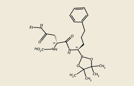 CCNC(=O)C[C@@H](NC(=O)O)C(=O)N[C@@H](CCCc1ccccc1)B1OC(C)(C)C(C)(C)O1